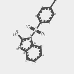 Cc1ccc(S(=O)(=O)n2c(S)nc3ccccc32)cc1